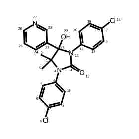 CC1(C)N(c2ccc(Cl)cc2)C(=O)N(c2ccc(Cl)cc2)C1(O)c1cccnc1